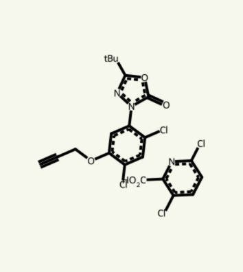 C#CCOc1cc(-n2nc(C(C)(C)C)oc2=O)c(Cl)cc1Cl.O=C(O)c1nc(Cl)ccc1Cl